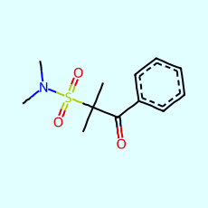 CN(C)S(=O)(=O)C(C)(C)C(=O)c1ccccc1